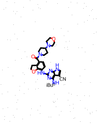 CC[C@H](C)Nc1nc(Nc2ccc(C(=O)N3CCC(N4CCOCC4)CC3)c3c2OCC3)nc2[nH]cc(C#N)c12